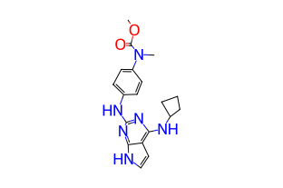 COC(=O)N(C)c1ccc(Nc2nc(NC3CCC3)c3cc[nH]c3n2)cc1